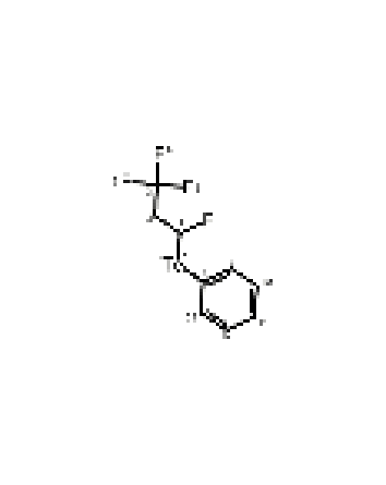 FC(CC(F)(F)F)[Te]c1ccccc1